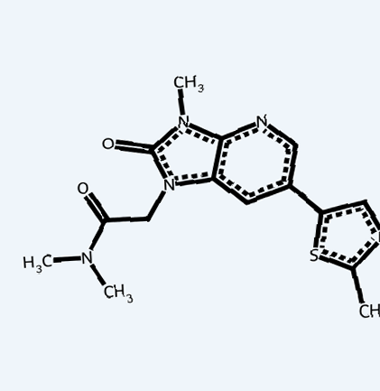 Cc1ncc(-c2cnc3c(c2)n(CC(=O)N(C)C)c(=O)n3C)s1